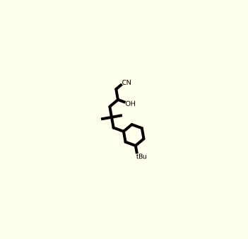 CC(C)(CC(O)CC#N)CC1CCCC(C(C)(C)C)C1